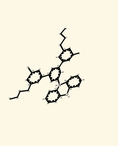 CCCCc1cc(C)cc(-c2cc(-c3cc(C)cc(CCCC)c3)cc(N3c4ccccc4Oc4ccccc43)c2)c1